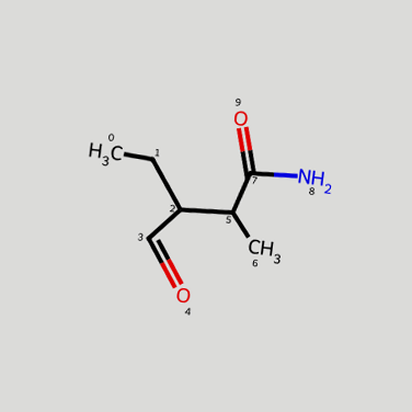 CCC(C=O)C(C)C(N)=O